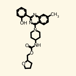 Cc1ccc2c(N3CCC(NC(=O)OCC4CCCO4)CC3)nc(-c3ccccc3O)nc2c1